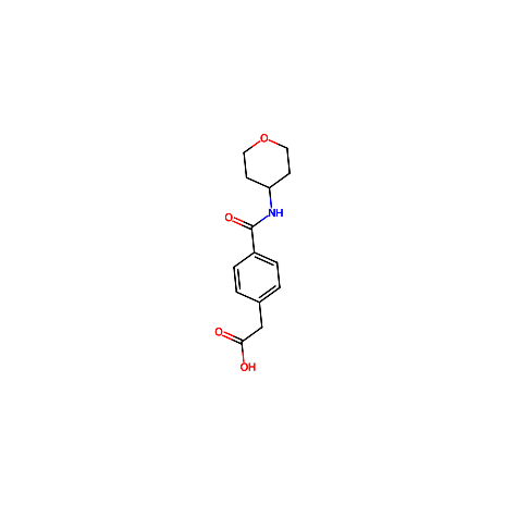 O=C(O)Cc1ccc(C(=O)NC2CCOCC2)cc1